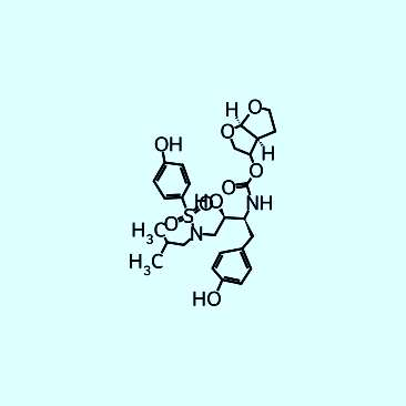 CC(C)CN(C[C@@H](O)[C@H](Cc1ccc(O)cc1)NC(=O)OC1CO[C@H]2OCC[C@@H]12)S(=O)(=O)c1ccc(O)cc1